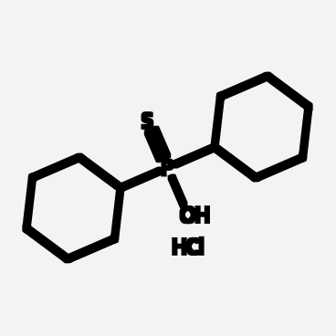 Cl.OP(=S)(C1CCCCC1)C1CCCCC1